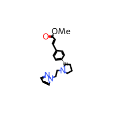 COC(=O)C=Cc1ccc([C@@H]2CCCN2CCn2cccn2)cc1